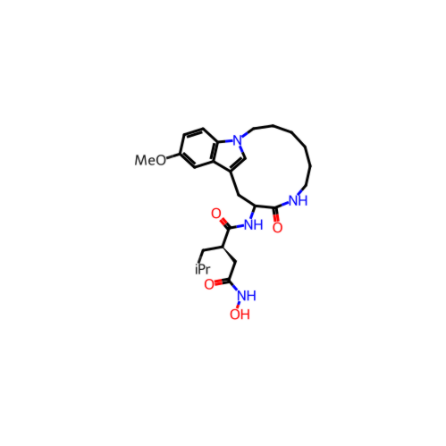 COc1ccc2c(c1)c1cn2CCCCCCNC(=O)C(NC(=O)[C@@H](CC(=O)NO)CC(C)C)C1